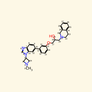 CN1CC(n2cnc3ccc(-c4cccc(OCC(O)CN5CCc6ccccc6C5)c4)cc32)C1